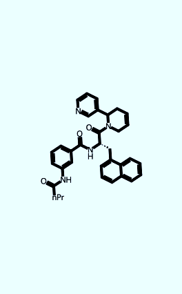 CCCC(=O)Nc1cccc(C(=O)N[C@@H](Cc2cccc3ccccc23)C(=O)N2CC=CCC2c2cccnc2)c1